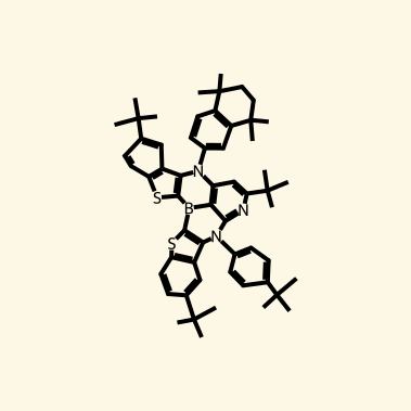 CC(C)(C)c1ccc(N2c3nc(C(C)(C)C)cc4c3B(c3sc5ccc(C(C)(C)C)cc5c3N4c3ccc4c(c3)C(C)(C)CCC4(C)C)c3sc4ccc(C(C)(C)C)cc4c32)cc1